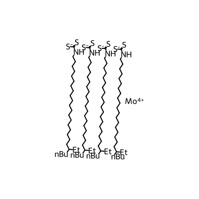 CCCCC(CC)CCCCCCCCCCCCCCCCCCCNC(=S)[S-].CCCCC(CC)CCCCCCCCCCCCCCCCCCCNC(=S)[S-].CCCCC(CC)CCCCCCCCCCCCCCCCCCCNC(=S)[S-].CCCCC(CC)CCCCCCCCCCCCCCCCCCCNC(=S)[S-].[Mo+4]